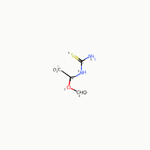 NC(=S)NC(O[C]=O)C(Cl)(Cl)Cl